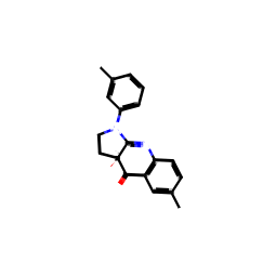 Cc1cccc(N2CC[C@@]3(O)C(=O)c4cc(C)ccc4N=C23)c1